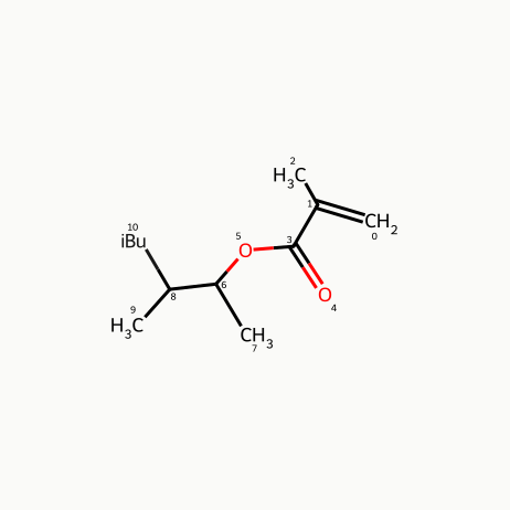 C=C(C)C(=O)OC(C)C(C)C(C)CC